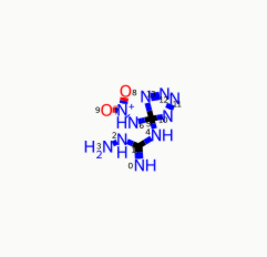 N=C(NN)NC1(N[N+](=O)[O-])N=NN=N1